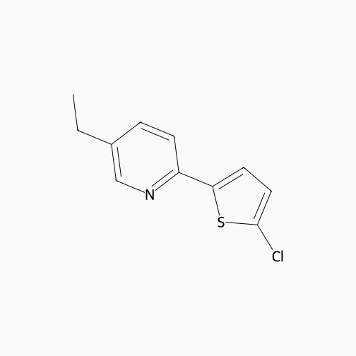 CCc1ccc(-c2ccc(Cl)s2)nc1